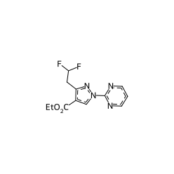 CCOC(=O)c1cn(-c2ncccn2)nc1CC(F)F